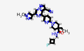 CCC1(C(=O)NC[C@H]2C[C@@H](F)C2)CCN(c2ccc(-c3nc(-c4cnn(C)c4)cn4ncc(C#N)c34)cn2)CC1